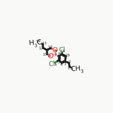 CCCc1cc(Cl)c(B2OCC(CCC)CO2)c(Cl)c1